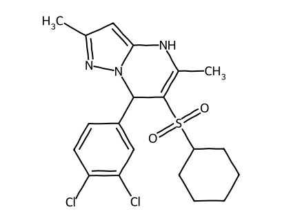 CC1=C(S(=O)(=O)C2CCCCC2)C(c2ccc(Cl)c(Cl)c2)n2nc(C)cc2N1